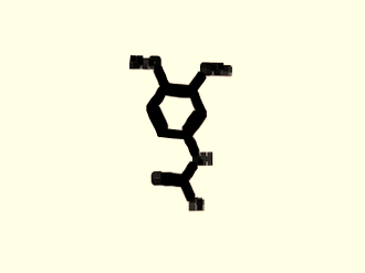 [CH2]CC(=O)Nc1ccc(OC)c(OC)c1